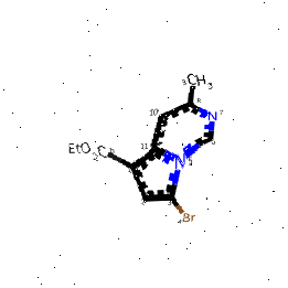 CCOC(=O)c1cc(Br)n2cnc(C)cc12